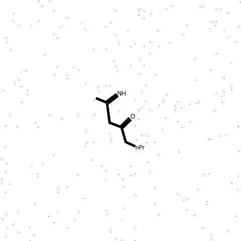 CCCCC(=O)CC(C)=N